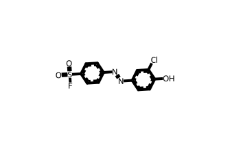 O=S(=O)(F)c1ccc(N=Nc2ccc(O)c(Cl)c2)cc1